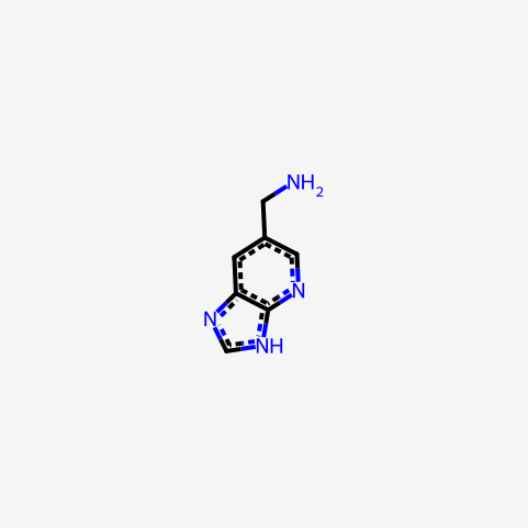 NCc1cnc2[nH]cnc2c1